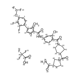 Cn1c(-c2ccc(OC(F)F)c(F)c2F)cnc1C(=O)Nc1ccc(C(=O)N2CCC(C(=O)N3CCC(C(N)=O)C3)CC2)c(Cl)c1.O=C(O)C(F)(F)F